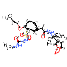 CCCOc1ccc(CC(=O)NC(C)(C)c2ccoc2)cc1S(=O)(=O)NC(=O)NC